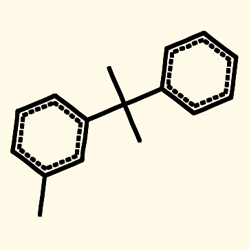 Cc1cccc(C(C)(C)c2ccccc2)c1